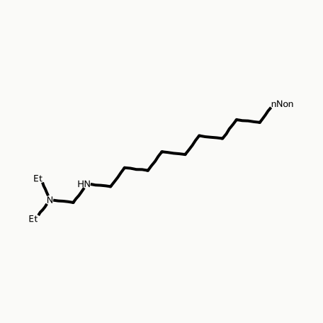 CCCCCCCCCCCCCCCCCCNCN(CC)CC